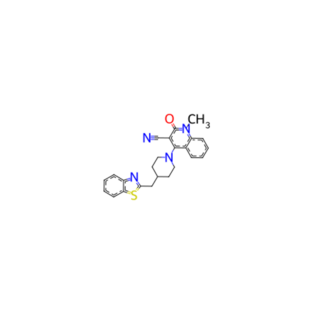 Cn1c(=O)c(C#N)c(N2CCC(Cc3nc4ccccc4s3)CC2)c2ccccc21